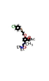 CCN(CC)C(=O)/C=C(\C)c1ccc(OCCCSc2ccc(Cl)cc2)c2oc(C(C)=O)cc12